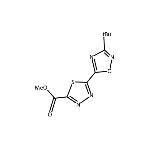 COC(=O)c1nnc(-c2nc(C(C)(C)C)no2)s1